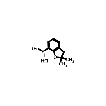 CC1(C)Cc2cccc(PC(C)(C)C)c2O1.Cl